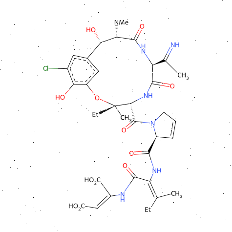 CC/C(C)=C(/NC(=O)[C@@H]1C=CCN1C(=O)[C@H]1NC(=O)[C@H](C(C)=N)NC(=O)[C@@H](NC)[C@@H](O)c2cc(Cl)c(O)c(c2)O[C@]1(C)CC)C(=O)N/C(=C/C(=O)O)C(=O)O